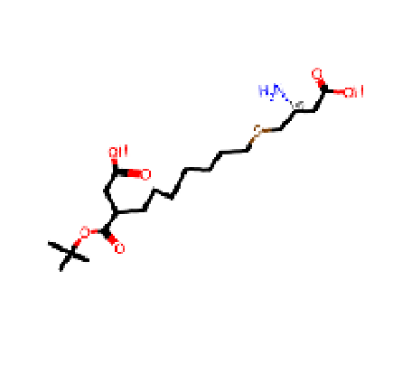 CC(C)(C)OC(=O)C(CCCCCCCSC[C@H](N)CC(=O)O)CC(=O)O